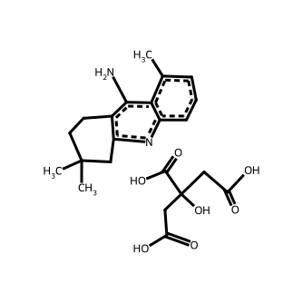 Cc1cccc2nc3c(c(N)c12)CCC(C)(C)C3.O=C(O)CC(O)(CC(=O)O)C(=O)O